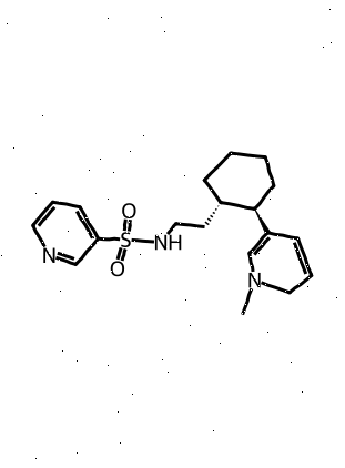 CN1C=C([C@@H]2CCCC[C@H]2CCNS(=O)(=O)c2cccnc2)C=CC1